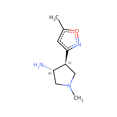 Cc1cc([C@H]2CN(C)C[C@@H]2N)no1